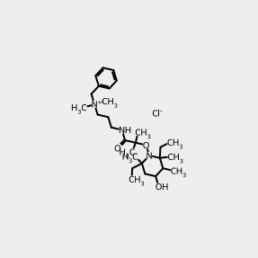 CCC1(C)CC(O)C(C)C(C)(CC)N1OC(C)(C)C(=O)NCCC[N+](C)(C)Cc1ccccc1.[Cl-]